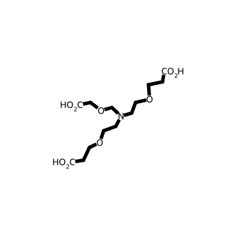 O=C(O)CCOCCN(CCOCCC(=O)O)COCC(=O)O